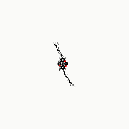 CCCCOCCOCCOc1c(F)c(F)[c]([Ti]([C]2=C(C)C=CC2)([C]2=C(C)C=CC2)[c]2c(F)c(F)c(OCCOCCOCCCC)c(F)c2F)c(F)c1F